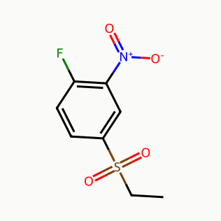 CCS(=O)(=O)c1ccc(F)c([N+](=O)[O-])c1